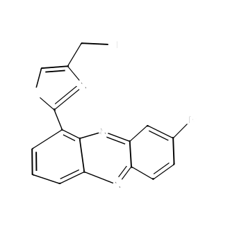 ClCc1coc(-c2cccc3nc4ccc(Br)cc4nc23)n1